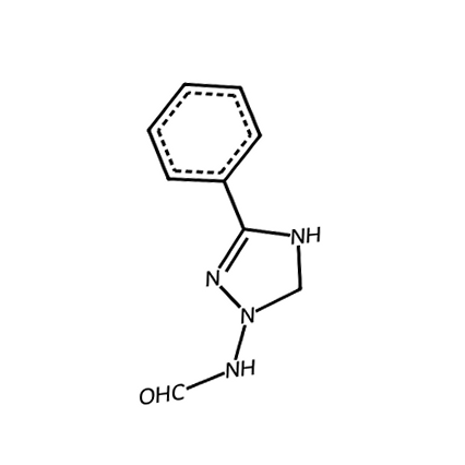 O=CNN1CNC(c2ccccc2)=N1